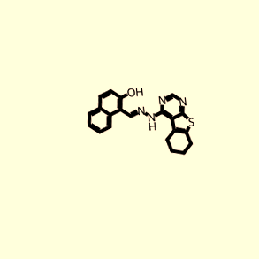 Oc1ccc2ccccc2c1/C=N/Nc1ncnc2sc3c(c12)CCCC3